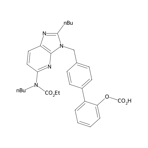 CCCCc1nc2ccc(N(CCCC)C(=O)OCC)nc2n1Cc1ccc(-c2ccccc2OC(=O)O)cc1